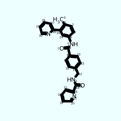 Cc1ccc(NC(=O)c2ccc(CNC(=O)c3ccccn3)cc2)cc1-c1ccccn1